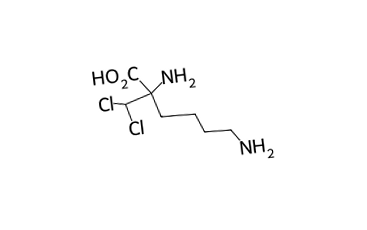 NCCCCC(N)(C(=O)O)C(Cl)Cl